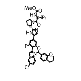 COC(=O)N[C@H](C(=O)N1CCC[C@H]1c1ncc(-c2cc(F)c3c(c2)OC(c2ccc4c(c2)OCCC4)n2c-3cc3cc(Cl)ccc32)[nH]1)C(C)C